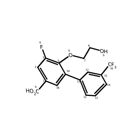 O=C(O)c1cc(F)c(OCCO)c(-c2cccc(C(F)(F)F)c2)c1